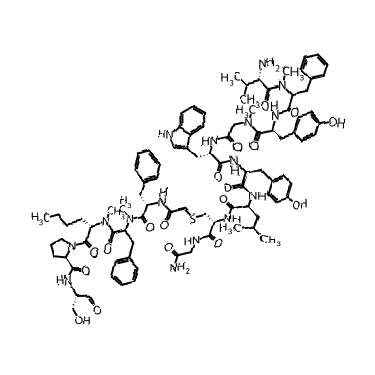 CCCC[C@@H](C(=O)N1CCC[C@@H]1C(=O)N[C@H](C=O)CO)N(C)C(=O)C(Cc1ccccc1)N(C)C(=O)[C@H](Cc1ccccc1)NC(=O)CSC[C@H](NC(=O)[C@H](CC(C)C)NC(=O)[C@H](Cc1ccc(O)cc1)NC(=O)[C@H](Cc1c[nH]c2ccccc12)NC(=O)CN(C)C(=O)[C@H](Cc1ccc(O)cc1)NC(=O)C(Cc1ccccc1)N(C)C(=O)[C@@H](N)C(C)C)C(=O)NCC(N)=O